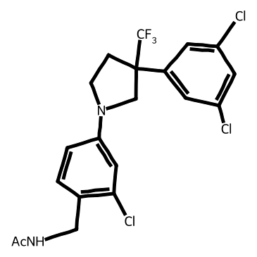 CC(=O)NCc1ccc(N2CCC(c3cc(Cl)cc(Cl)c3)(C(F)(F)F)C2)cc1Cl